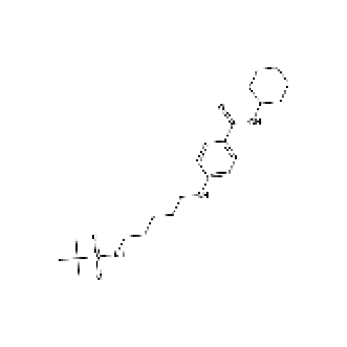 CC(C)(C)S(=O)(=O)NCCCCCNc1ccc(C(=O)NC2CCCCC2)cc1